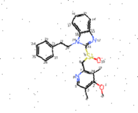 COc1c(C)cnc(C[S+]([O-])c2nc3ccccc3n2[CH]Cc2ccccc2)c1C